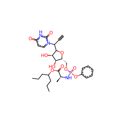 C#CC(C1O[C@H](COP(=O)(N[C@@H](C)C(=O)OC(CCC)CCC)Oc2ccccc2)[C@@H](O)[C@H]1O)n1ccc(=O)[nH]c1=O